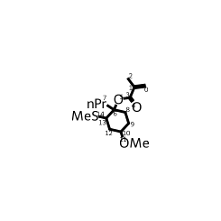 C=C(C)C(=O)OC1(CCC)CCC(OC)CC1SC